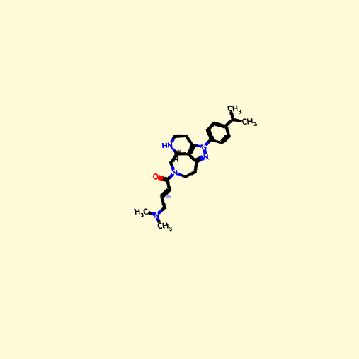 CC(C)c1ccc(-n2nc3c4c2CCN[C@@H]4CN(C(=O)/C=C/CN(C)C)CC3)cc1